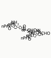 CCCN(CCC)C(=O)C1=Cc2ccc(-c3ccc4c(=O)n(CCSCNC5=Nc6cc(-c7ccc(C=O)c(/C=N\N(C)CC=O)c7)ccc6C=C(C(=O)N(CCC)CCC)C5)ncc4c3)cc2N=C(N)C1